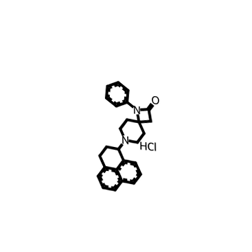 Cl.O=C1CC2(CCN(C3CCc4cccc5cccc3c45)CC2)N1c1ccccc1